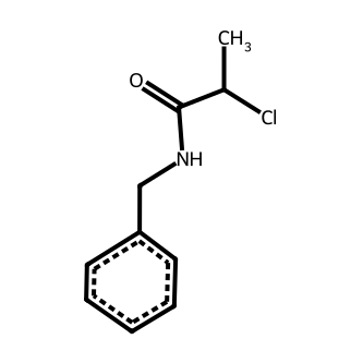 CC(Cl)C(=O)NCc1ccccc1